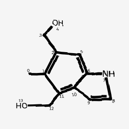 Cc1c(CO)cc2[nH]ccc2c1CO